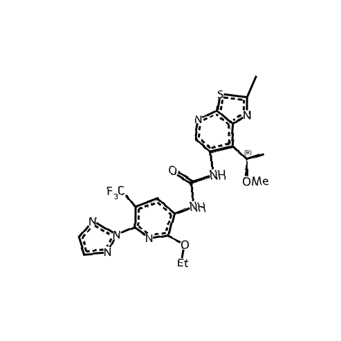 CCOc1nc(-n2nccn2)c(C(F)(F)F)cc1NC(=O)Nc1cnc2sc(C)nc2c1[C@@H](C)OC